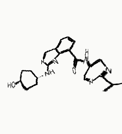 CC(C)c1ncc(NC(=O)c2cccc3cnc(N[C@H]4CC[C@H](O)CC4)nc23)cn1